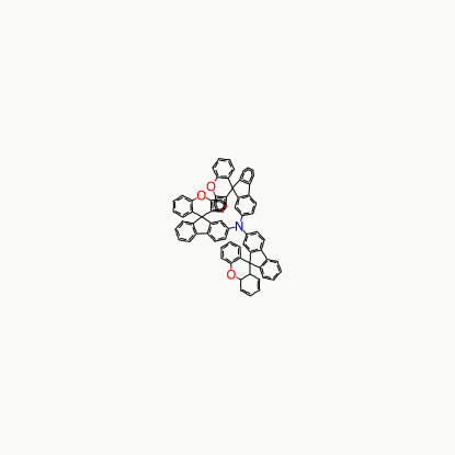 C1=CC2Oc3ccccc3C3(c4ccccc4-c4ccc(N(c5ccc6c(c5)C5(c7ccccc7Oc7ccccc75)c5ccccc5-6)c5ccc6c(c5)C5(c7ccccc7Oc7ccccc75)c5ccccc5-6)cc43)C2C=C1